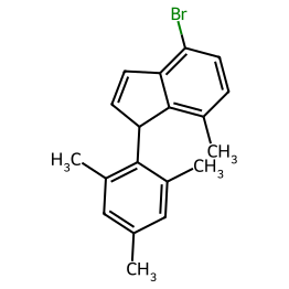 Cc1cc(C)c(C2C=Cc3c(Br)ccc(C)c32)c(C)c1